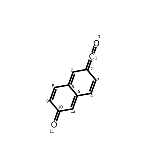 O=C=c1ccc2c(c1)C=CC(=O)C=2